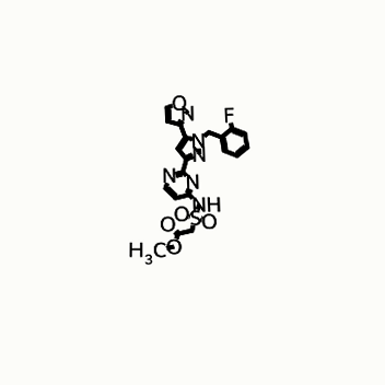 COC(=O)CS(=O)(=O)Nc1ccnc(-c2cc(-c3ccon3)n(Cc3ccccc3F)n2)n1